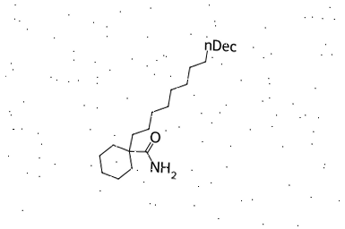 CCCCCCCCCCCCCCCCCCC1(C(N)=O)CCCCC1